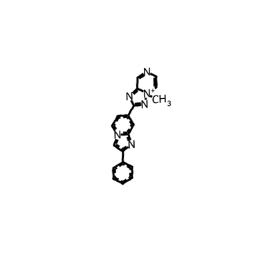 C[N+]12C=CN=CC1=NC(c1ccn3cc(-c4ccccc4)nc3c1)=N2